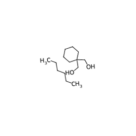 CCCCCC.OCC1(CO)CCCCC1